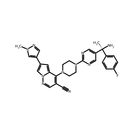 Cn1cc(-c2cc3c(N4CCN(c5ncc([C@@](C)(N)c6ccc(F)cc6)cn5)CC4)c(C#N)cnn3c2)cn1